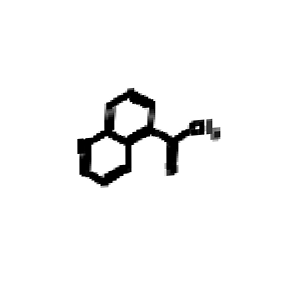 CC(=S)c1cccc2ncccc12